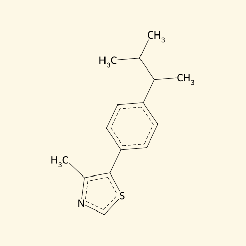 Cc1ncsc1-c1ccc(C(C)C(C)C)cc1